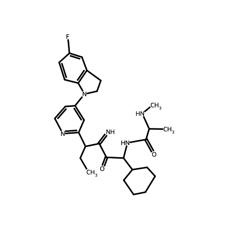 CCC(C(=N)C(=O)C(NC(=O)C(C)NC)C1CCCCC1)c1cc(N2CCc3cc(F)ccc32)ccn1